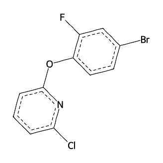 Fc1cc(Br)ccc1Oc1cccc(Cl)n1